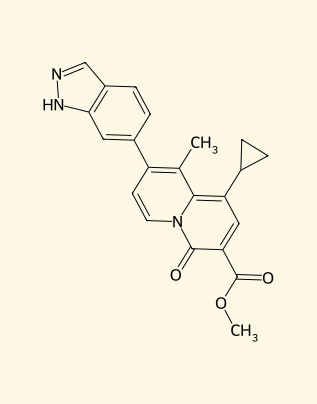 COC(=O)c1cc(C2CC2)c2c(C)c(-c3ccc4cn[nH]c4c3)ccn2c1=O